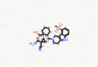 CS(=O)(=O)c1cccc2[nH]c3c(c12)CN(C(=O)[C@@H]1CCCC[C@@]1(C(=O)O)C1CC1(C#N)C(N)=O)CC3